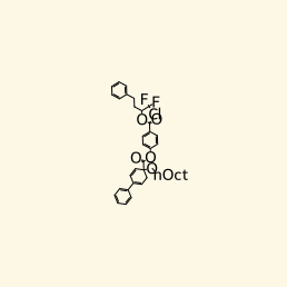 CCCCCCCCOC1(C(=O)Oc2ccc(C(=O)OC(CCc3ccccc3)C(F)(F)Cl)cc2)C=CC(c2ccccc2)=CC1